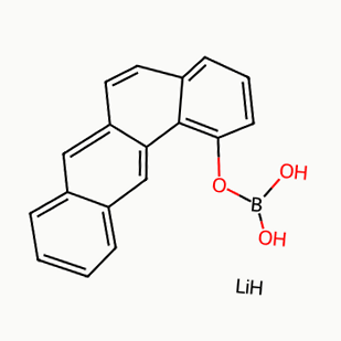 OB(O)Oc1cccc2ccc3cc4ccccc4cc3c12.[LiH]